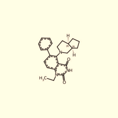 CCn1c(=O)[nH]c(=O)c2c(N3CC[C@H]4CCC[C@H]4C3)c(-c3ccccc3)ccc21